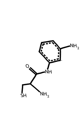 Nc1[c]c(NC(=O)C(N)CS)ccc1